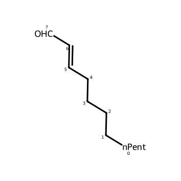 CCCCCCCCCC=CC=O